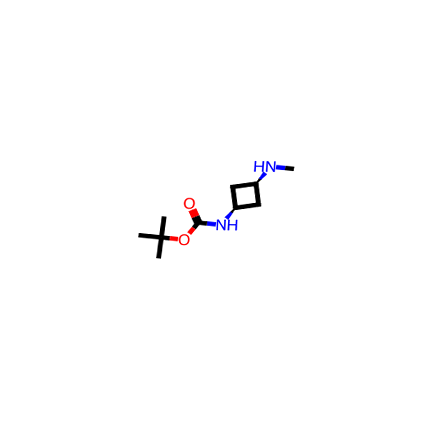 CN[C@H]1C[C@@H](NC(=O)OC(C)(C)C)C1